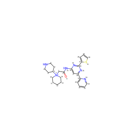 O=C(C[N+]1(C2CCNCC2)CCCCC1)Nc1cc(-c2ccccn2)nc(-c2cccs2)n1